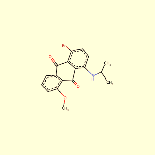 COc1cccc2c1C(=O)c1c(NC(C)C)ccc(Br)c1C2=O